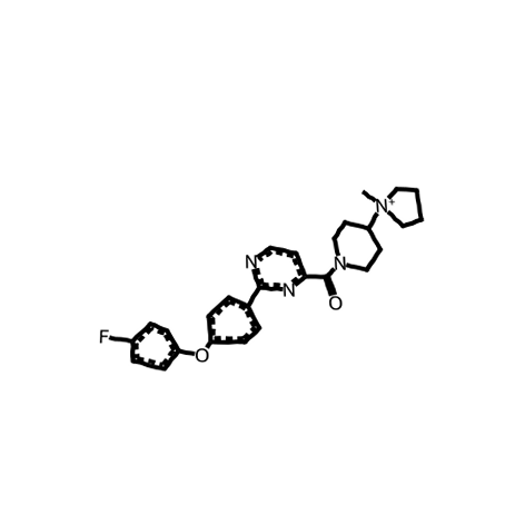 C[N+]1(C2CCN(C(=O)c3ccnc(-c4ccc(Oc5ccc(F)cc5)cc4)n3)CC2)CCCC1